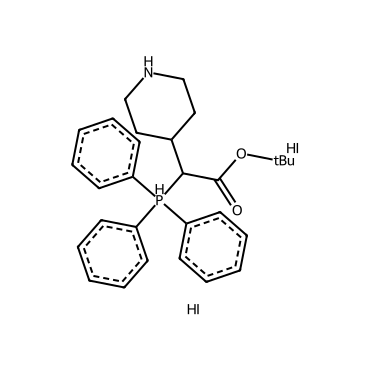 CC(C)(C)OC(=O)C(C1CCNCC1)[PH](c1ccccc1)(c1ccccc1)c1ccccc1.I.I